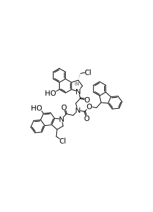 O=C(OCC1c2ccccc2-c2ccccc21)N(CC(=O)N1CC(CCl)c2c1cc(O)c1ccccc21)CC(=O)N1C[C@@H](CCl)c2c1cc(O)c1ccccc21